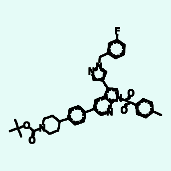 Cc1ccc(S(=O)(=O)n2cc(-c3cnn(Cc4cccc(F)c4)c3)c3cc(-c4ccc(C5CCN(C(=O)OC(C)(C)C)CC5)cc4)cnc32)cc1